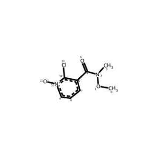 CON(C)C(=O)c1ccc[n+]([O-])c1Cl